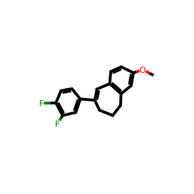 COc1ccc2c(c1)CCCC(c1ccc(F)c(F)c1)=[C]2